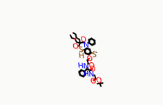 CCCCC1(CCCC)C(=O)[SH]c2cc(OCC(=O)N[C@@H](C(=O)NCC(=O)OC(C)(C)C)c3ccccc3)c(SC)cc2N(c2ccccc2)C1=O